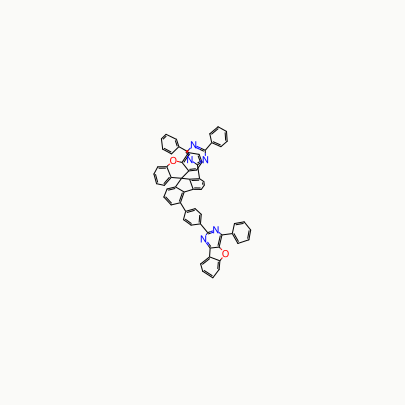 c1ccc(-c2nc(-c3ccccc3)nc(-c3cccc4c3C3(c5ccccc5Oc5ccccc53)c3cccc(-c5ccc(-c6nc(-c7ccccc7)c7oc8ccccc8c7n6)cc5)c3-4)n2)cc1